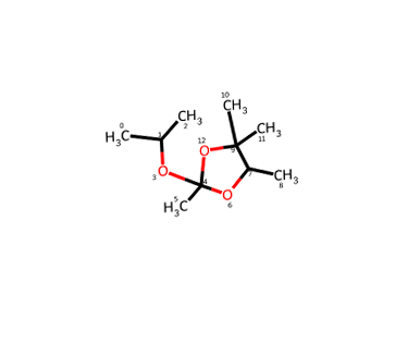 CC(C)OC1(C)OC(C)C(C)(C)O1